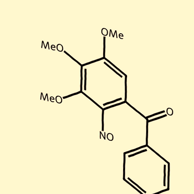 COc1cc(C(=O)c2ccccc2)c(N=O)c(OC)c1OC